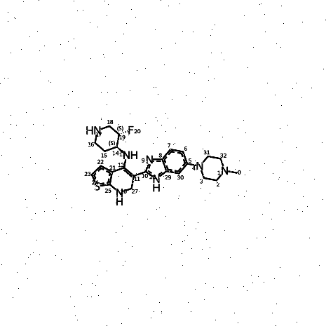 CN1CCN(c2ccc3nc(C4=C(N[C@H]5CCNC[C@@H]5F)c5ccsc5NC4)[nH]c3c2)CC1